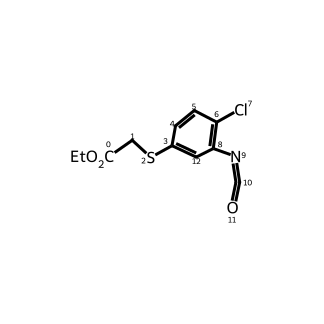 CCOC(=O)CSc1ccc(Cl)c(N=C=O)c1